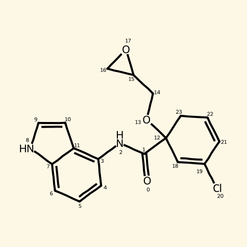 O=C(Nc1cccc2[nH]ccc12)C1(OCC2CO2)C=C(Cl)C=CC1